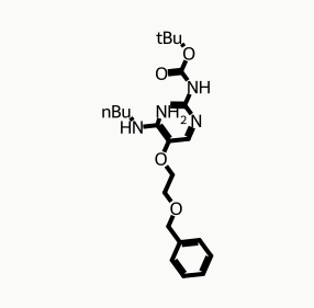 C=C(/N=C\C(OCCOCc1ccccc1)=C(/N)NCCCC)NC(=O)OC(C)(C)C